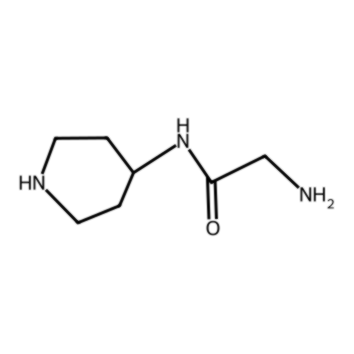 NCC(=O)NC1CCNCC1